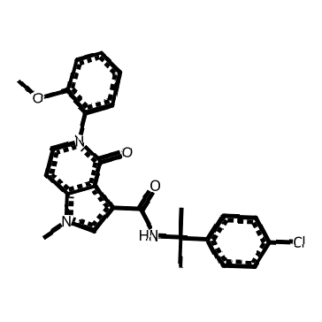 COc1ccccc1-n1ccc2c(c(C(=O)NC(C)(C)c3ccc(Cl)cc3)cn2C)c1=O